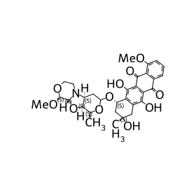 COc1cccc2c1C(=O)c1c(O)c3c(c(O)c1C2=O)C[C@](C)(O)C[C@@H]3OC1C[C@H]2[C@H](O[C@@H]3[C@@H](OC)OCCN32)[C@H](C)O1